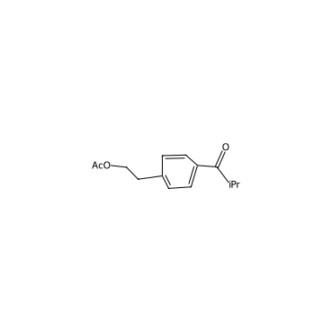 CC(=O)OCCc1ccc(C(=O)C(C)C)cc1